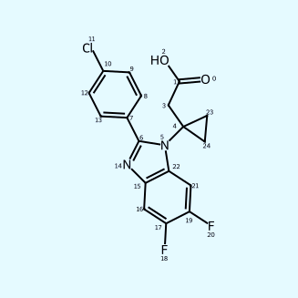 O=C(O)CC1(n2c(-c3ccc(Cl)cc3)nc3cc(F)c(F)cc32)CC1